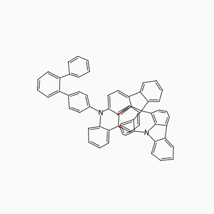 c1ccc(-c2ccccc2-c2ccc(N(c3ccc4c(c3)C3(c5ccccc5-4)c4ccccc4-n4c5ccccc5c5cccc3c54)c3ccccc3-c3ccccc3)cc2)cc1